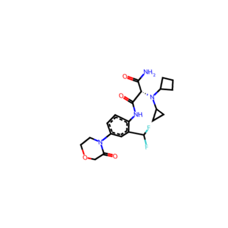 NC(=O)[C@@H](C(=O)Nc1ccc(N2CCOCC2=O)cc1C(F)F)N(C1CCC1)C1CC1